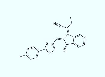 CC/C(C#N)=C1/C(=C/c2ccc(-c3ccc(C)cc3)s2)C(=O)c2ccccc21